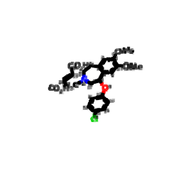 COc1cc2c(cc1OC)C(Oc1ccc(Cl)cc1)CN(C)CC2.O=C(O)C=CC(=O)O